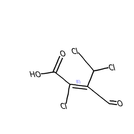 O=C/C(=C(\Cl)C(=O)O)C(Cl)Cl